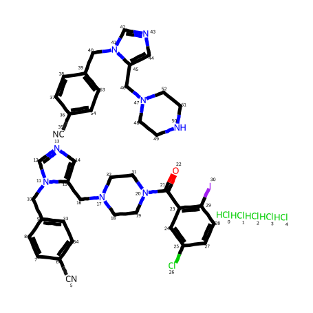 Cl.Cl.Cl.Cl.Cl.N#Cc1ccc(Cn2cncc2CN2CCN(C(=O)c3cc(Cl)ccc3I)CC2)cc1.N#Cc1ccc(Cn2cncc2CN2CCNCC2)cc1